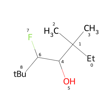 CCC(C)(C)C(O)C(F)C(C)(C)C